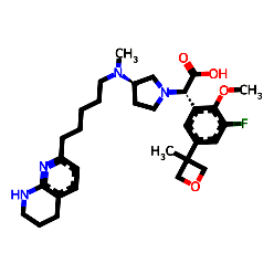 COc1c(F)cc(C2(C)COC2)cc1[C@@H](C(=O)O)N1CC[C@@H](N(C)CCCCCc2ccc3c(n2)NCCC3)C1